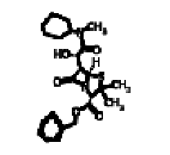 CN(C(=O)[C@@H](O)[C@@H]1C(=O)N2[C@@H]1SC(C)(C)[C@@H]2C(=O)OCc1ccccc1)C1CCCCC1